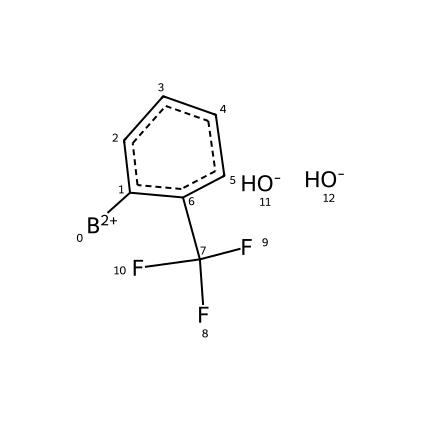 [B+2]c1ccccc1C(F)(F)F.[OH-].[OH-]